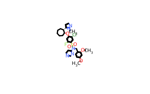 COc1ccc(CN(c2ccncn2)S(=O)(=O)c2cc(Cl)c(O[C@H]3CCCCC[C@@H]3c3ccnn3C)cc2F)c(OC)c1